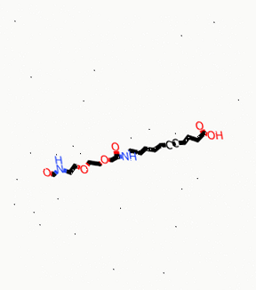 O=CNCCOCCOCC(=O)NCCCCCCCCCCC(=O)O